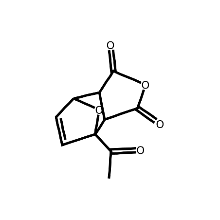 CC(=O)C12C=CC(O1)C1C(=O)OC(=O)C12